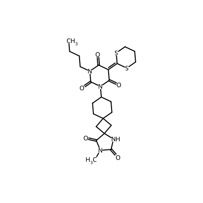 CCCCN1C(=O)C(=C2SCCCS2)C(=O)N(C2CCC3(CC2)CC2(C3)NC(=O)N(C)C2=O)C1=O